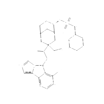 CCC1(C(O)CC2c3c(F)cccc3-c3cncn32)CC2CC[C@@H](NS(=O)(=O)CC3CCCCC3)C(C2)C1